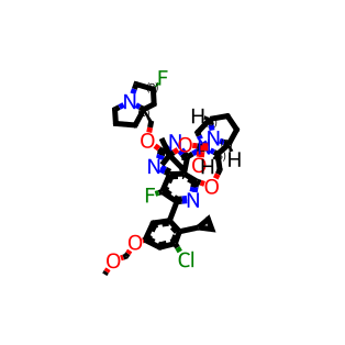 COCOc1cc(Cl)c(C2CC2)c(-c2nc3c4c(nc(OC[C@@]56CCCN5C[C@H](F)C6)nc4c2F)N2C[C@@H]4CC[C@H]([C@H]2CO3)N4C(=O)OC(C)(C)C)c1